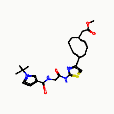 COC(=O)CC1CCCC(c2csc(NC(=O)CNC(=O)c3ccn(C(C)(C)C)c3)n2)CCC1